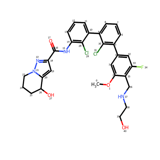 COc1cc(-c2cccc(-c3cccc(NC(=O)c4cc5n(n4)CCCC5O)c3Cl)c2Cl)cc(F)c1CNCCO